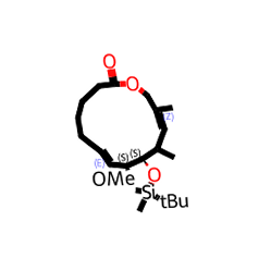 CO[C@H]1/C=C/CCCCC(=O)OC/C(C)=C\C(C)[C@@H]1O[Si](C)(C)C(C)(C)C